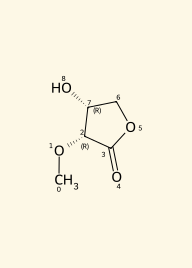 CO[C@H]1C(=O)OC[C@H]1O